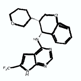 FC(F)(F)c1cc2c(N[C@H]3c4ccccc4OC[C@H]3C3CCCOC3)ncnc2[nH]1